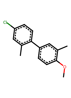 COc1ccc(-c2ccc(Cl)cc2C)cc1C